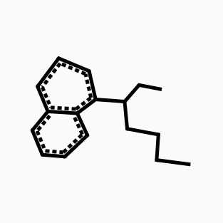 CCCCC(CC)c1cccc2ccccc12